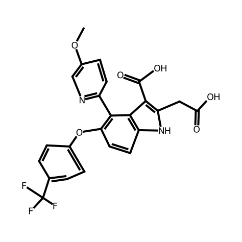 COc1ccc(-c2c(Oc3ccc(C(F)(F)F)cc3)ccc3[nH]c(CC(=O)O)c(C(=O)O)c23)nc1